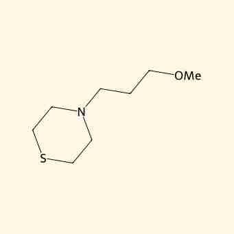 COCCCN1CCSCC1